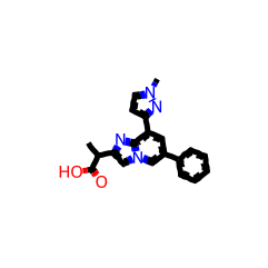 CC(C(=O)O)c1cn2cc(-c3ccccc3)cc(-c3ccn(C)n3)c2n1